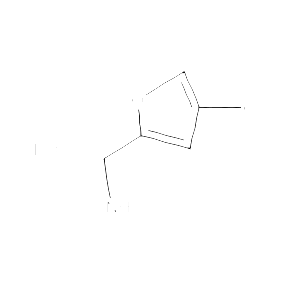 C[C@@H](N)c1cc(Cl)co1